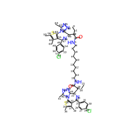 CC[C@@H](C(=O)NCCCCCCCCCCNC(=O)[C@H](CC)[C@@H]1N=C(c2ccc(Cl)cc2)c2c(sc(C)c2C)-n2c(C)nnc21)[C@@H]1N=C(c2ccc(Cl)cc2)c2c(sc(C)c2C)-n2c(C)nnc21